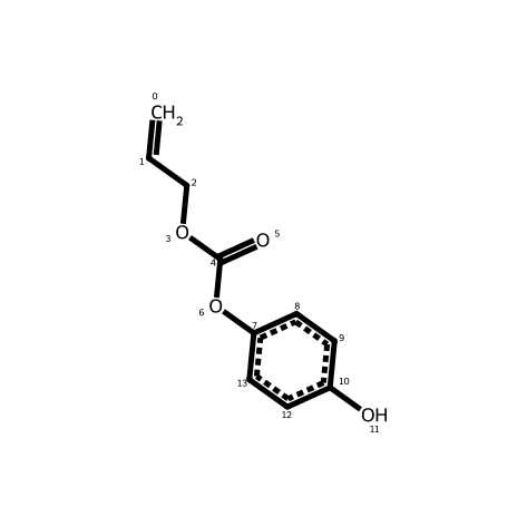 C=CCOC(=O)Oc1ccc(O)cc1